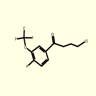 O=C(CCCCl)c1ccc(F)c(OC(F)(F)F)c1